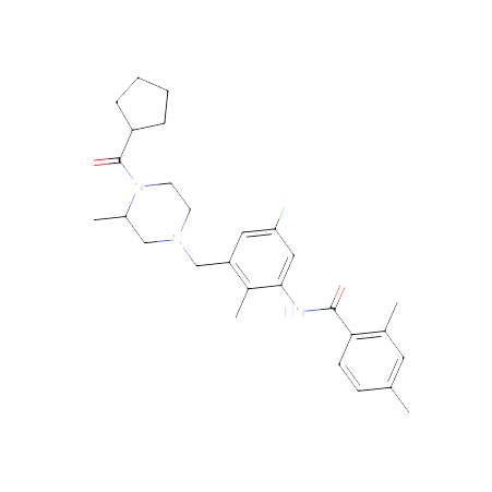 Cc1ccc(C(=O)Nc2cc(F)cc(CN3CCN(C(=O)C4CCCC4)C(C)C3)c2C)c(C)c1